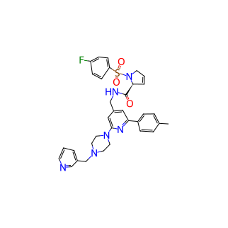 Cc1ccc(-c2cc(CNC(=O)[C@@H]3C=CCN3S(=O)(=O)c3ccc(F)cc3)cc(N3CCN(Cc4cccnc4)CC3)n2)cc1